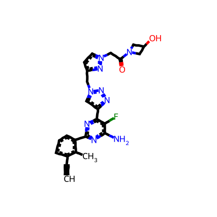 C#Cc1cccc(-c2nc(N)c(F)c(-c3cn(Cc4ccn(CC(=O)N5CC(O)C5)n4)nn3)n2)c1C